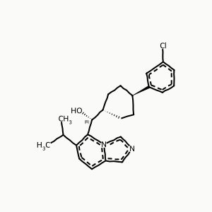 CC(C)c1ccc2cncn2c1[C@H](O)[C@H]1CC[C@H](c2cccc(Cl)c2)CC1